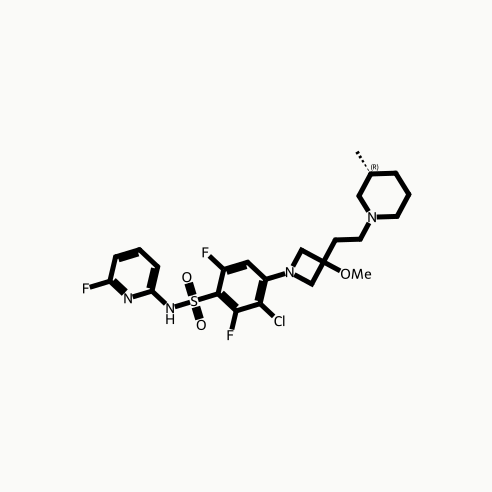 COC1(CCN2CCC[C@@H](C)C2)CN(c2cc(F)c(S(=O)(=O)Nc3cccc(F)n3)c(F)c2Cl)C1